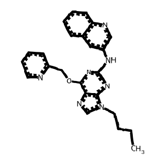 CCCCn1cnc2c(OCc3ccccn3)nc(Nc3cnc4ccccc4c3)nc21